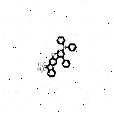 CC1(C)c2ccccc2-c2cc3c(cc21)oc1cc(N(c2ccccc2)c2ccccc2)cc(-c2ccccc2)c13